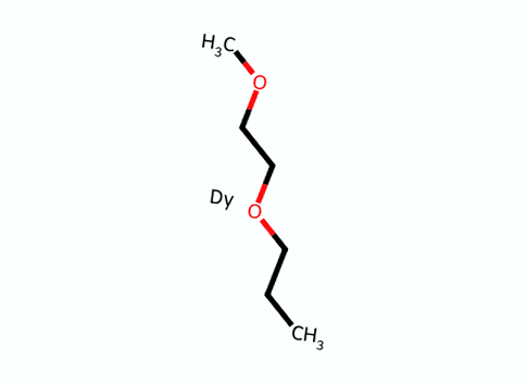 CCCOCCOC.[Dy]